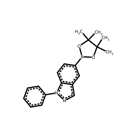 CC1(C)OB(c2ccc3c(cnn3-c3ccccc3)c2)OC1(C)C